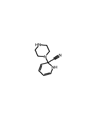 N#CC1(N2CCNCC2)C=CC=CN1